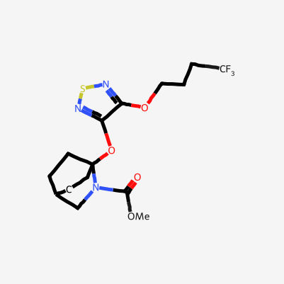 COC(=O)N1CC2CCC1(Oc1nsnc1OCCCC(F)(F)F)CC2